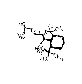 CC(C)(C)c1cccc(C(C)(C)C)c1C(O)CCOP(O)O